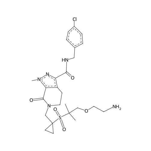 Cn1nc(C(=O)NCc2ccc(Cl)cc2)c2c1C(=O)N(CC1(S(=O)(=O)C(C)(C)COCCN)CC1)CC2